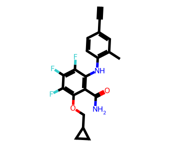 C#Cc1ccc(Nc2c(F)c(F)c(F)c(OCC3CC3)c2C(N)=O)c(C)c1